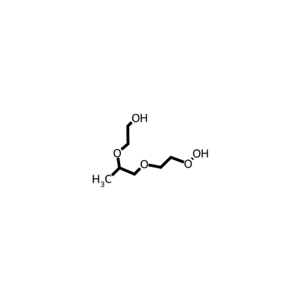 CC(COCCOO)OCCO